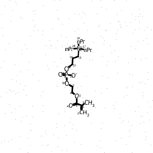 C=C(C)C(=O)OCCOP(=O)([O-])OCCC[N+](CCC)(CCC)CCC